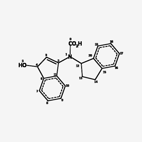 O=C(O)N(C1=CC(O)c2ccccc21)C1CCc2ccccc21